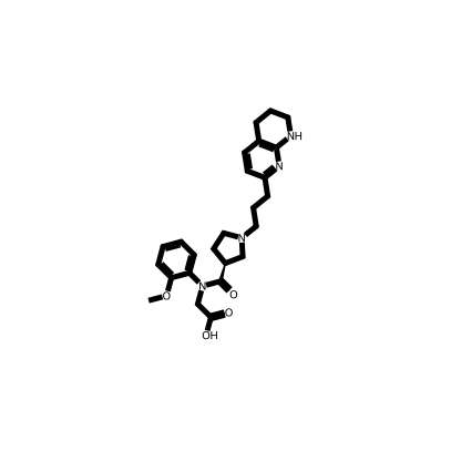 COc1ccccc1N(CC(=O)O)C(=O)[C@H]1CCN(CCCc2ccc3c(n2)NCCC3)C1